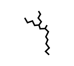 CCCCCCCC(C)CC(CCCC)CCCC